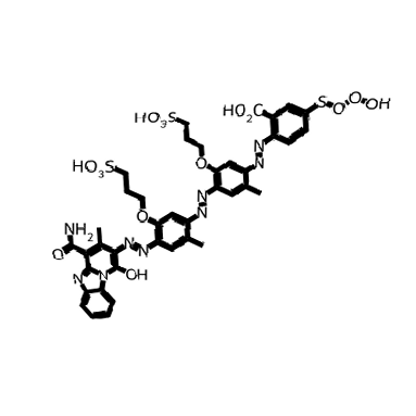 Cc1cc(N=Nc2c(C)c(C(N)=O)c3nc4ccccc4n3c2O)c(OCCCS(=O)(=O)O)cc1N=Nc1cc(C)c(N=Nc2ccc(SOOO)cc2C(=O)O)cc1OCCCS(=O)(=O)O